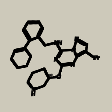 CC(C)c1cnn2c(NCc3ccccc3C3=CCCCC3)nc(O[C@@H]3CCCNC3)nc12